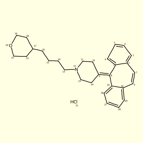 C1=Cc2ccccc2C(=C2CCN(CCCCC3CCOCC3)CC2)c2ccccc21.Cl